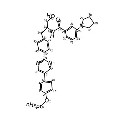 CCCCCCCOc1ccc(-c2cnc(-c3ccc(C[C@@H](CO)NC(=O)c4cccc(N5CCCC5)c4)cc3)nc2)cc1